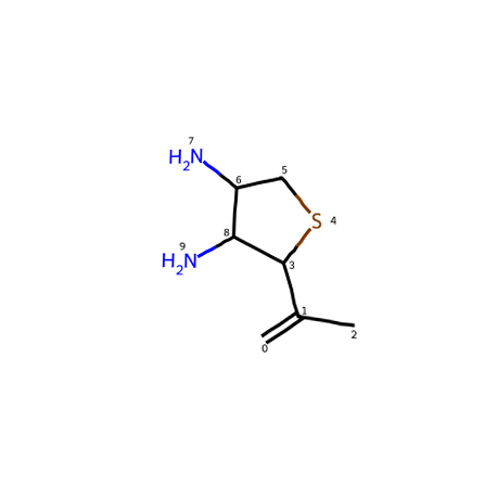 C=C(C)C1SCC(N)C1N